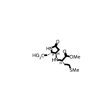 COC(=O)[C@H](CCSC)N[C@@H]1CC(=O)N[C@H]1CC(=O)O